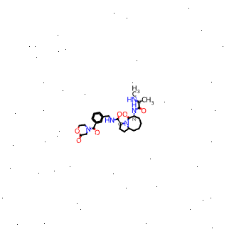 CN[C@@H](C)C(=O)N[C@H]1CCCCC2CC[C@@H](C(=O)NCc3cccc(C(=O)N4CCOC(=O)C4)c3)N2C1=O